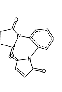 O=C1C=CC(=O)N1c1ccccc1N1C(=O)CCC1=O